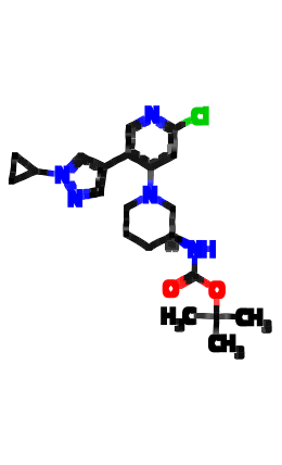 CC(C)(C)OC(=O)N[C@H]1CCCN(c2cc(Cl)ncc2-c2cnn(C3CC3)c2)C1